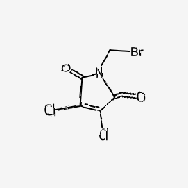 O=C1C(Cl)=C(Cl)C(=O)N1CBr